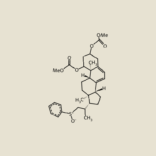 COC(=O)OC1CC2=CC=C3[C@@H]4CC[C@H](C(C)C[S+]([O-])c5ccccc5)[C@@]4(C)CC[C@@H]3[C@@]2(C)C(OC(=O)OC)C1